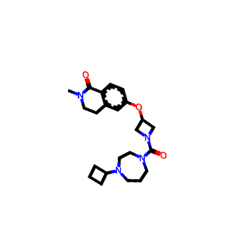 CN1CCc2cc(OC3CN(C(=O)N4CCCN(C5CCC5)CC4)C3)ccc2C1=O